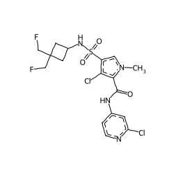 Cn1cc(S(=O)(=O)NC2CC(CF)(CF)C2)c(Cl)c1C(=O)Nc1ccnc(Cl)c1